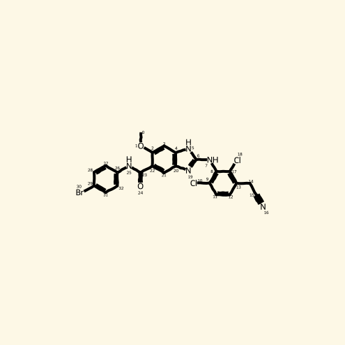 COc1cc2[nH]c(Nc3c(Cl)ccc(CC#N)c3Cl)nc2cc1C(=O)Nc1ccc(Br)cc1